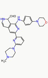 CN1CCN(c2cccc(-c3cc4c(c(Nc5ccc(N6CCOCC6)cc5)n3)C(C=O)NC=C4)n2)CC1